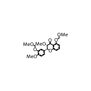 COCOc1cc([C@@H]2Oc3cccc(OCOC)c3C(=O)[C@H]2OC)ccc1OC